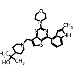 Cc1cc2c(-c3nc(N4CCOCC4)nc4c(CN5CCC(C(C)(C)O)CC5)csc34)cccc2[nH]1